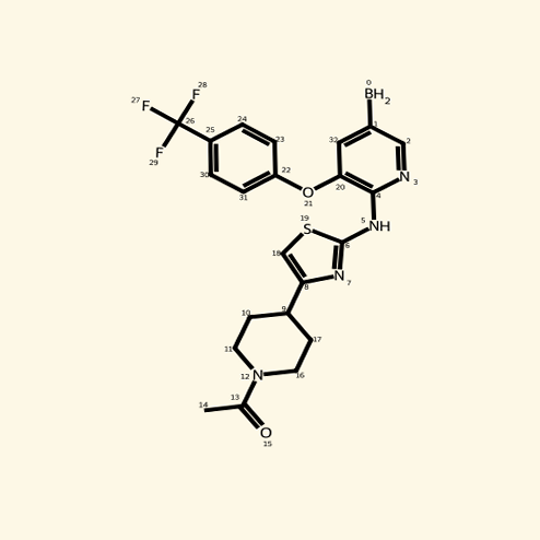 Bc1cnc(Nc2nc(C3CCN(C(C)=O)CC3)cs2)c(Oc2ccc(C(F)(F)F)cc2)c1